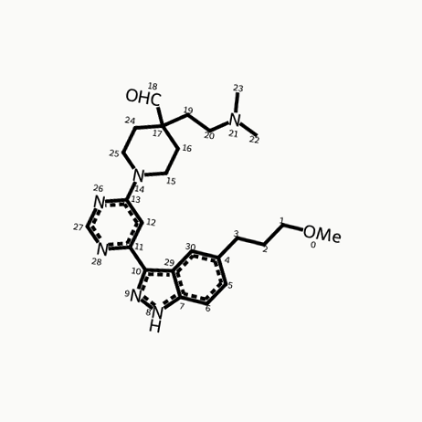 COCCCc1ccc2[nH]nc(-c3cc(N4CCC(C=O)(CCN(C)C)CC4)ncn3)c2c1